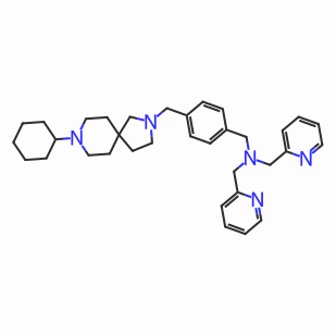 c1ccc(CN(Cc2ccc(CN3CCC4(CCN(C5CCCCC5)CC4)C3)cc2)Cc2ccccn2)nc1